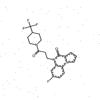 O=C(CCn1c(=O)c2cccn2c2ccc(F)cc21)N1CCC(C(F)(F)F)CC1